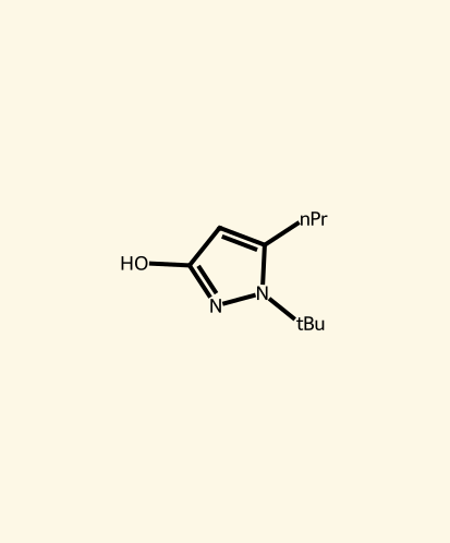 CCCc1cc(O)nn1C(C)(C)C